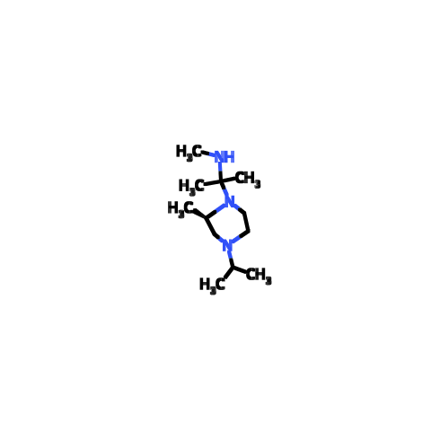 CNC(C)(C)N1CCN(C(C)C)C[C@H]1C